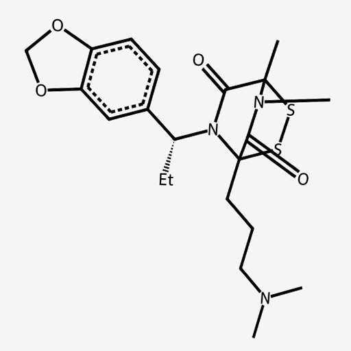 CC[C@H](c1ccc2c(c1)OCO2)N1C(=O)C2(C)SSC1(CCCN(C)C)C(=O)N2C